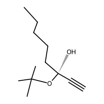 C#C[C@](O)(CCCCC)OC(C)(C)C